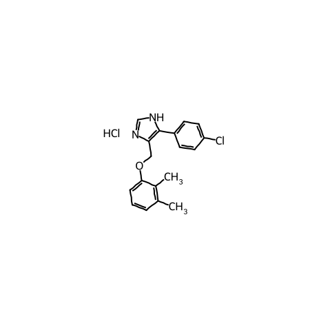 Cc1cccc(OCc2nc[nH]c2-c2ccc(Cl)cc2)c1C.Cl